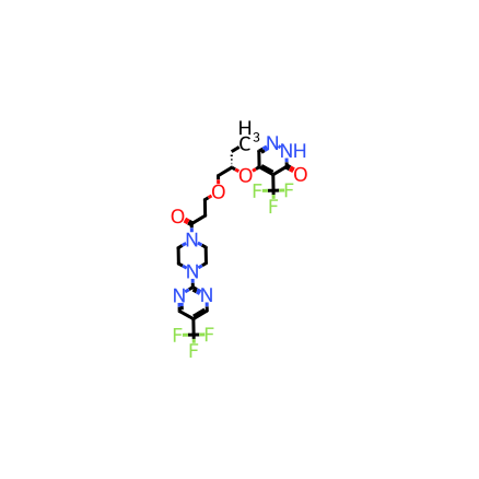 CC[C@@H](COCCC(=O)N1CCN(c2ncc(C(F)(F)F)cn2)CC1)Oc1cn[nH]c(=O)c1C(F)(F)F